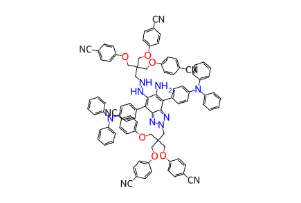 N#Cc1ccc(OCC(CNNc2c(N)c(-c3ccc(N(c4ccccc4)c4ccccc4)cc3)c3nn(CC(COc4ccc(C#N)cc4)(COc4ccc(C#N)cc4)COc4ccc(C#N)cc4)nc3c2-c2ccc(N(c3ccccc3)c3ccccc3)cc2)(COc2ccc(C#N)cc2)COc2ccc(C#N)cc2)cc1